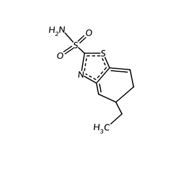 CCC1C=c2nc(S(N)(=O)=O)sc2=CC1